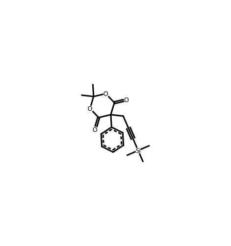 CC1(C)OC(=O)C(CC#C[Si](C)(C)C)(c2ccccc2)C(=O)O1